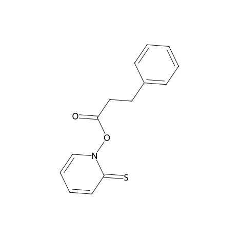 O=C(CCc1ccccc1)On1ccccc1=S